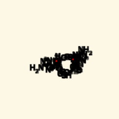 Nc1ncnc2c1ncn2[C@@H]1O[C@@H]2CCO[P@@](=O)(S)O[C@H]3[C@H]4OC[C@]3(CO[P@@](=O)(S)O[C@@H]1[C@H]2F)O[C@H]4n1cnc2c(N)ncnc21